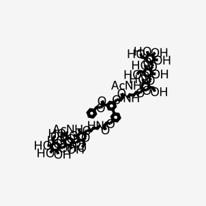 CC(=O)NC1C(OCCCNC(=O)COc2cccc(-c3cc(OCC(=O)NCCCOC4OC(CO)C(OC5OC(CO)C(O)C(OC6OC(CO)C(O)C(O)C6O)C5O)C(O)C4NC(C)=O)cc(C(=O)OCc4ccccc4)c3)c2)OC(CO)C(OC2OC(CO)C(O)C(OC3OC(CO)C(O)C(O)C3O)C2O)C1O